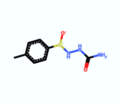 Cc1ccc([S+]([O-])NNC(N)=O)cc1